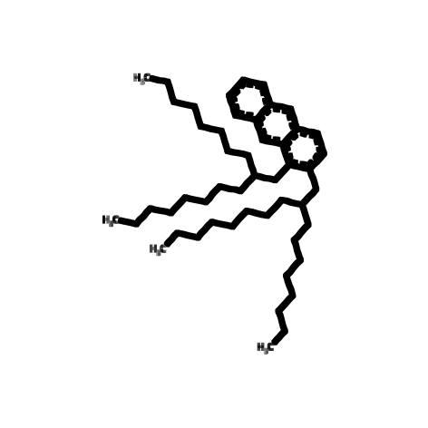 CCCCCCCCC(CCCCCCCC)Cc1ccc2cc3ccccc3cc2c1CC(CCCCCCCC)CCCCCCCC